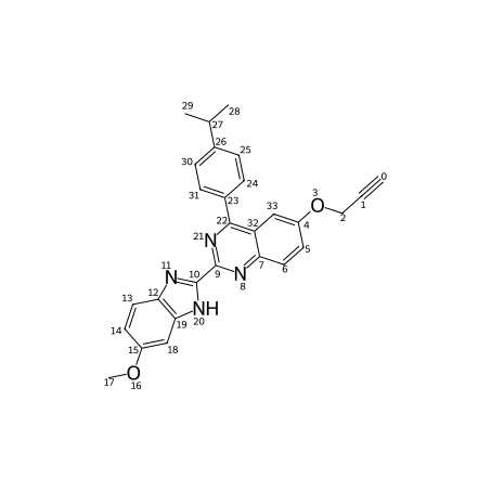 C#CCOc1ccc2nc(-c3nc4ccc(OC)cc4[nH]3)nc(-c3ccc(C(C)C)cc3)c2c1